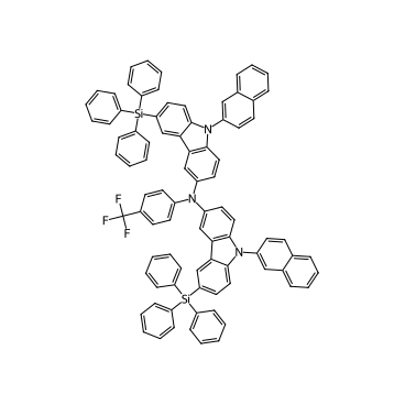 FC(F)(F)c1ccc(N(c2ccc3c(c2)c2cc([Si](c4ccccc4)(c4ccccc4)c4ccccc4)ccc2n3-c2ccc3ccccc3c2)c2ccc3c(c2)c2cc([Si](c4ccccc4)(c4ccccc4)c4ccccc4)ccc2n3-c2ccc3ccccc3c2)cc1